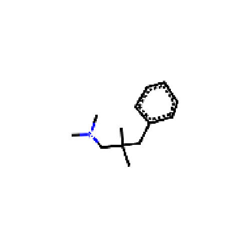 CN(C)CC(C)(C)Cc1ccccc1